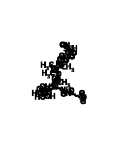 Cc1c(-c2ccc(-c3ccc4c(c3)N(C(=O)Nc3nc5ccccc5s3)CCC4)nc2C(=O)O)cnn1CC12CC3(C)CC(C)(C1)CC(OCCN(C)C(=O)OCc1ccc(O[C@@H]4O[C@H](C(=O)O)[C@H](O)[C@H](O)[C@@H]4O)cc1OCCCNC(=O)CNC(=O)CCCCCN1C(=O)C=CC1=O)(C3)C2